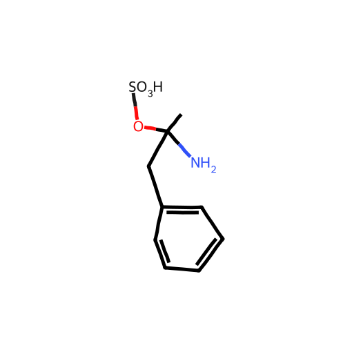 CC(N)(Cc1ccccc1)OS(=O)(=O)O